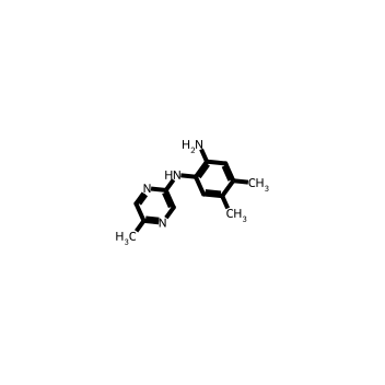 Cc1cnc(Nc2cc(C)c(C)cc2N)cn1